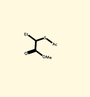 CCC(SC(C)=O)C(=O)OC